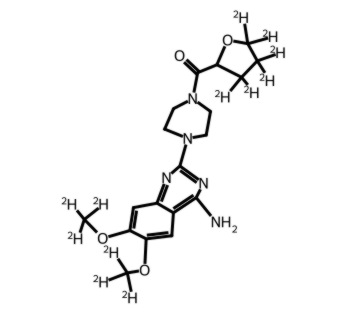 [2H]C([2H])([2H])Oc1cc2nc(N3CCN(C(=O)C4OC([2H])([2H])C([2H])([2H])C4([2H])[2H])CC3)nc(N)c2cc1OC([2H])([2H])[2H]